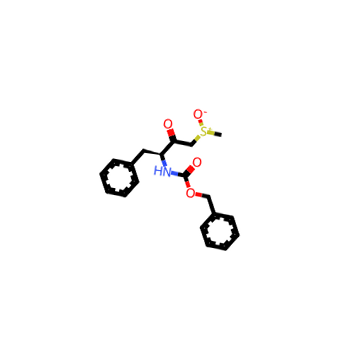 C[S+]([O-])CC(=O)[C@H](Cc1ccccc1)NC(=O)OCc1ccccc1